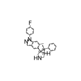 Cc1cc2c(cnn2-c2ccc(F)cc2)cc1[C@]12CNC[C@H]1[C@@]2(C)c1ccccc1